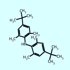 Cc1cc(C(C)(C)C)cc(C)c1Nc1c(C)cc(C(C)(C)C)cc1C